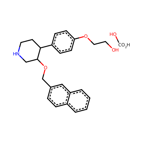 O=C(O)O.OCCOc1ccc(C2CCNCC2OCc2ccc3ccccc3c2)cc1